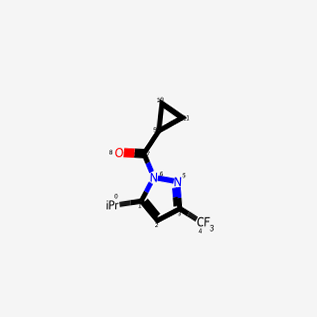 CC(C)c1cc(C(F)(F)F)nn1C(=O)C1CC1